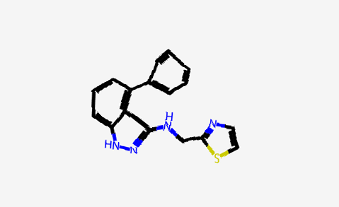 c1ccc(-c2cccc3[nH]nc(NCc4nccs4)c23)cc1